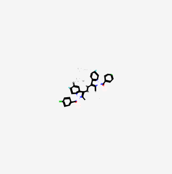 COc1cc2c(C(C(=O)O)C(C(=O)O)c3c(C)n(C(=O)c4ccc(Cl)cc4)c4cc(F)c(OC)cc34)c(C)n(C(=O)c3ccc(Cl)cc3)c2cc1F